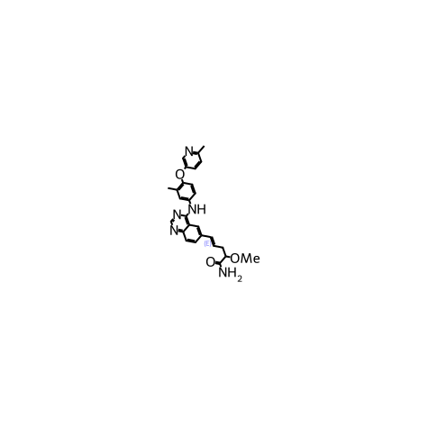 COC(C/C=C/c1ccc2ncnc(Nc3ccc(Oc4ccc(C)nc4)c(C)c3)c2c1)C(N)=O